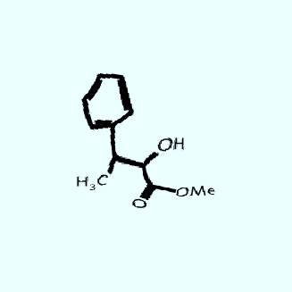 COC(=O)C(O)C(C)c1ccccc1